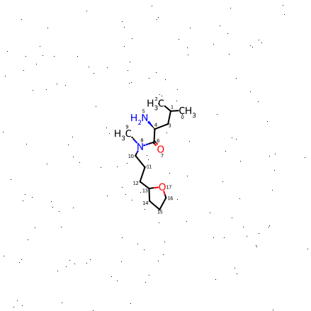 CC(C)C[C@H](N)C(=O)N(C)CCCC1CCCO1